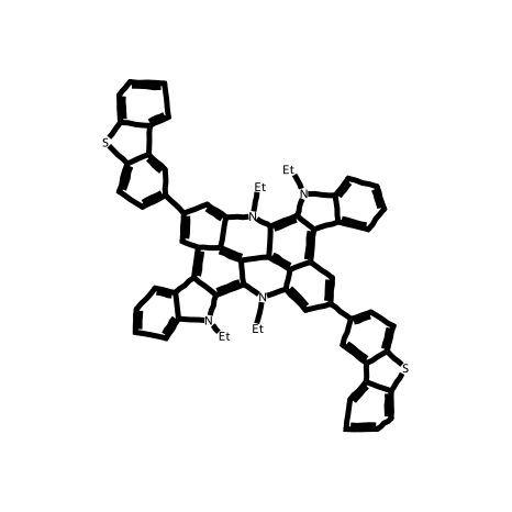 CCn1c2cc(-c3ccc4sc5ccccc5c4c3)cc3c2c2c(c4c3c3ccccc3n4CC)n(CC)c3cc(-c4ccc5sc6ccccc6c5c4)cc4c3c-2c1c1c4c2ccccc2n1CC